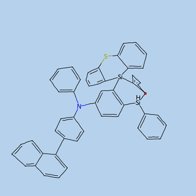 c1ccc(N(c2ccc(-c3cccc4ccccc34)cc2)c2ccc3c(c2)[Si]2(c4ccccc4Sc4ccccc42)c2ccccc2[SiH]3c2ccccc2)cc1